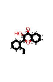 C=Cc1ccccc1-c1oc2ccccc2c(=O)c1O